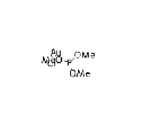 COP(OC)OC.[Cl][Au]